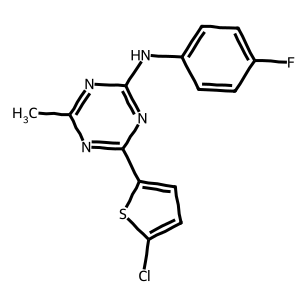 Cc1nc(Nc2ccc(F)cc2)nc(-c2ccc(Cl)s2)n1